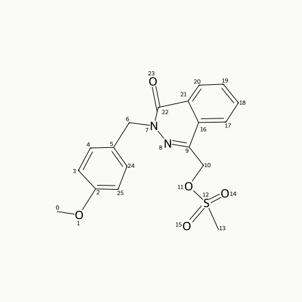 COc1ccc(Cn2nc(COS(C)(=O)=O)c3ccccc3c2=O)cc1